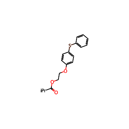 CC(C)C(=O)OCCOc1ccc(Sc2ccccc2)cc1